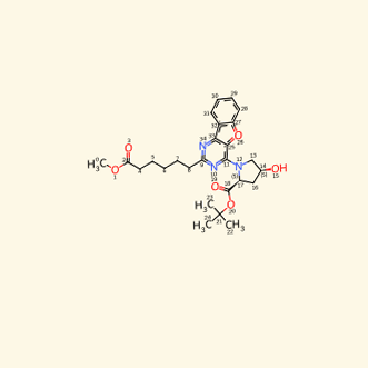 COC(=O)CCCCCc1nc(N2C[C@@H](O)C[C@H]2C(=O)OC(C)(C)C)c2oc3ccccc3c2n1